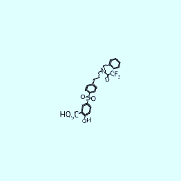 O=C(O)c1cc(S(=O)(=O)c2ccc(CCCN(Cc3ccccc3)C(=O)C(F)(F)F)cc2)ccc1O